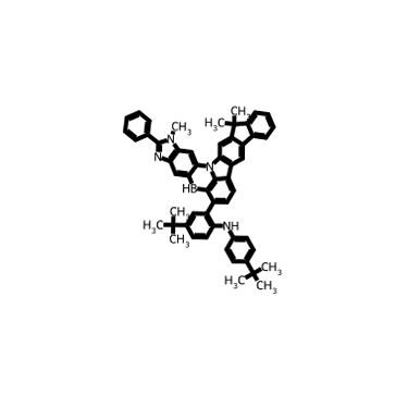 Cn1c(-c2ccccc2)nc2cc3c(cc21)-n1c2cc4c(cc2c2ccc(-c5cc(C(C)(C)C)ccc5Nc5ccc(C(C)(C)C)cc5)c(c21)B3)-c1ccccc1C4(C)C